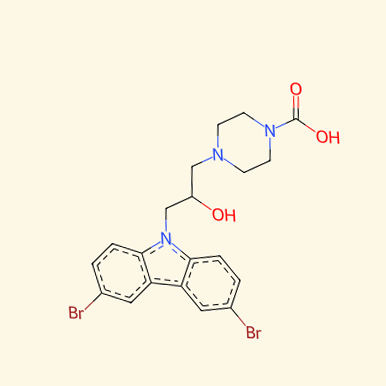 O=C(O)N1CCN(CC(O)Cn2c3ccc(Br)cc3c3cc(Br)ccc32)CC1